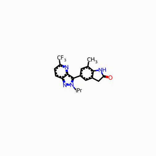 Cc1cc(-c2c3nc(C(F)(F)F)ccc3nn2C(C)C)cc2c1NC(=O)C2